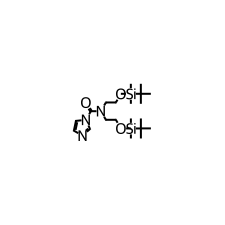 CC(C)(C)[Si](C)(C)OCCN(CCO[Si](C)(C)C(C)(C)C)C(=O)n1ccnc1